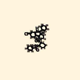 O=C(N[C@@H]1CCCC[C@@H]1C(=O)N1CC[C@@H]2[C@H](c3ccccc3)Nc3cc(Cl)ccc3[C@@H]21)c1ccccc1